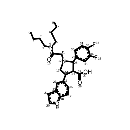 CCCCN(CCCC)C(=O)CN1CC(c2ccc3occc3c2)C(C(=O)O)C1c1ccc(F)c(F)c1